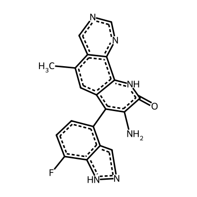 Cc1cc2c(-c3ccc(F)c4[nH]ncc34)c(N)c(=O)[nH]c2c2ncncc12